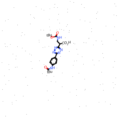 CC(C)(C)OC(=O)NCC(C(=O)O)c1nnc(-c2ccc(NC(=O)C(C)(C)C)cc2)nn1